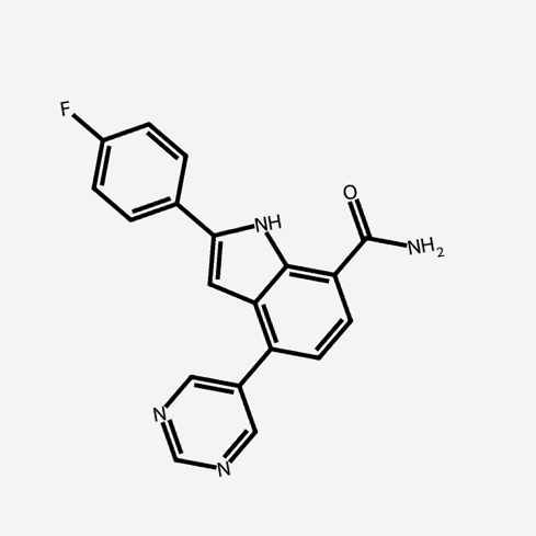 NC(=O)c1ccc(-c2cncnc2)c2cc(-c3ccc(F)cc3)[nH]c12